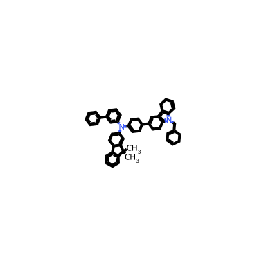 CC1(C)C2=CC(N(C3=CCC(C4=Cc5c6c(n(CC7=CC=CCC7)c5CC4)C=CCC6)CC3)c3cccc(-c4ccccc4)c3)=CCC2c2ccccc21